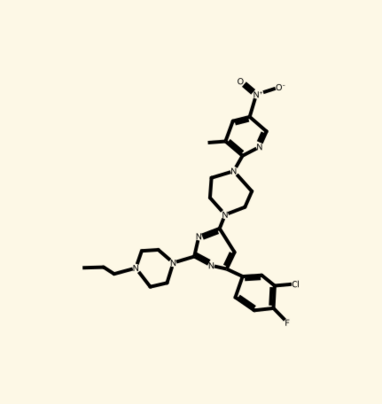 CCCN1CCN(c2nc(-c3ccc(F)c(Cl)c3)cc(N3CCN(c4ncc([N+](=O)[O-])cc4C)CC3)n2)CC1